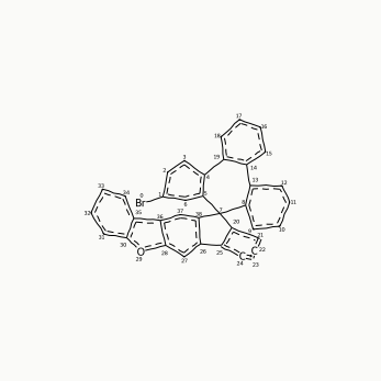 Brc1ccc2c(c1)C1(c3ccccc3-c3ccccc3-2)c2ccccc2-c2cc3oc4ccccc4c3cc21